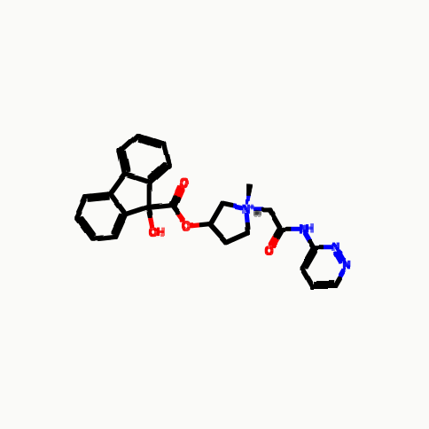 C[N@@+]1(CC(=O)Nc2cccnn2)CCC(OC(=O)C2(O)c3ccccc3-c3ccccc32)C1